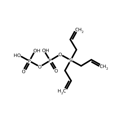 C=CC[Si](CC=C)(CC=C)OP(=O)(O)OP(=O)(O)O